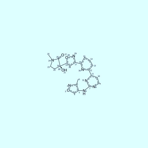 Cc1nocc1Nc1nccc(-c2cccc(-c3cc([C@]4(O)CCN(C)C4=O)on3)n2)n1